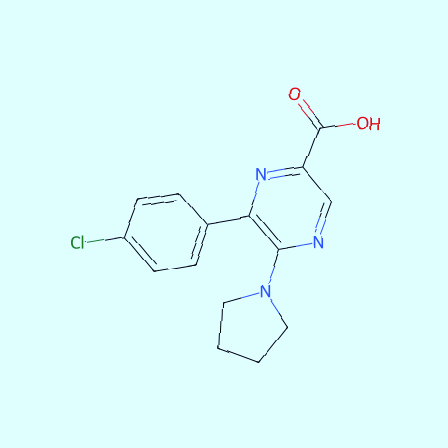 O=C(O)c1cnc(N2CCCC2)c(-c2ccc(Cl)cc2)n1